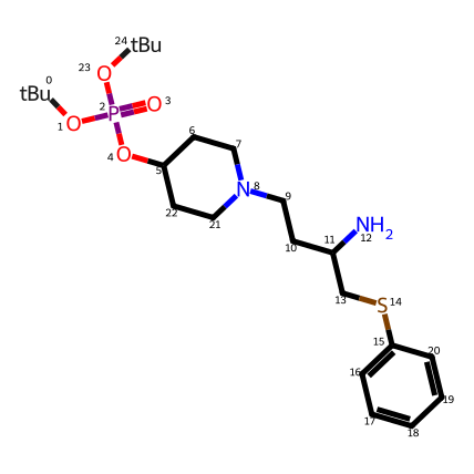 CC(C)(C)OP(=O)(OC1CCN(CCC(N)CSc2ccccc2)CC1)OC(C)(C)C